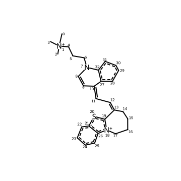 C[N+](C)(C)CCCN1C=C/C(=C/C=C2/CCCC[n+]3c2sc2ccccc23)c2ccccc21